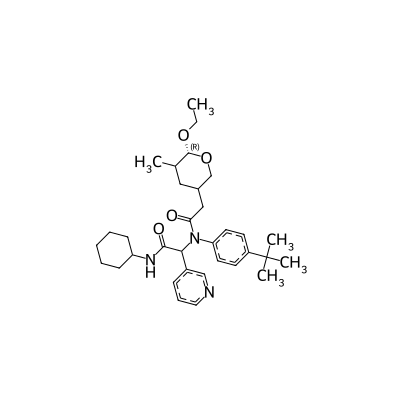 CCO[C@@H]1OCC(CC(=O)N(c2ccc(C(C)(C)C)cc2)C(C(=O)NC2CCCCC2)c2cccnc2)CC1C